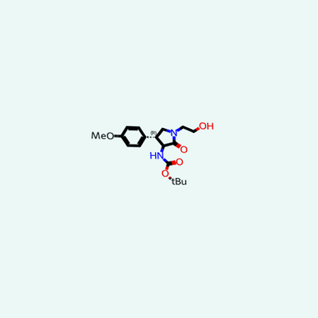 COc1ccc([C@@H]2CN(CCO)C(=O)C2NC(=O)OC(C)(C)C)cc1